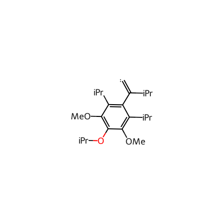 [C]=C(c1c(C(C)C)c(OC)c(OC(C)C)c(OC)c1C(C)C)C(C)C